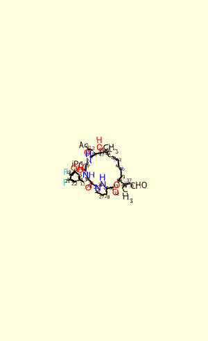 CC(=O)CC[C@H]1C(=O)N[C@@H](C(C)C)C(=O)N[C@@H](Cc2cc(O)c(F)c(F)c2)C(=O)N2CCCC(N2)C(=O)O[C@H](/C(C)=C/C=O)C/C=C/C=C/C[C@H](C)[C@H]1O